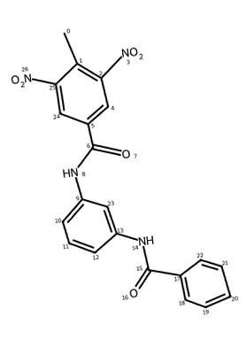 Cc1c([N+](=O)[O-])cc(C(=O)Nc2cccc(NC(=O)c3ccccc3)c2)cc1[N+](=O)[O-]